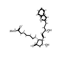 COC(=O)CSCCCS[C@H]1C(=O)C[C@@H](O)[C@@H]1C=C[C@@H](O)CCc1cc2ccccc2o1